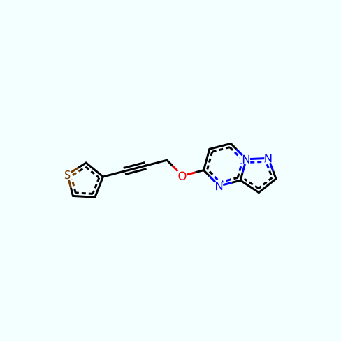 C(#Cc1ccsc1)COc1ccn2nccc2n1